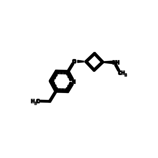 CCc1ccc(O[C@H]2C[C@H](NC)C2)nc1